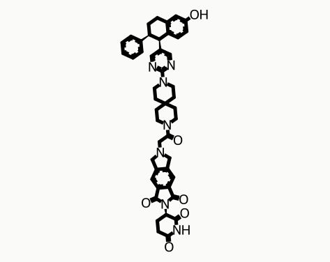 O=C1CC[C@@H](N2C(=O)c3cc4c(cc3C2=O)CN(CC(=O)N2CCC3(CC2)CCN(c2ncc([C@@H]5c6ccc(O)cc6CC[C@@H]5c5ccccc5)cn2)CC3)C4)C(=O)N1